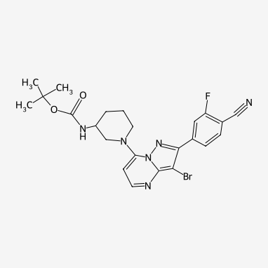 CC(C)(C)OC(=O)NC1CCCN(c2ccnc3c(Br)c(-c4ccc(C#N)c(F)c4)nn23)C1